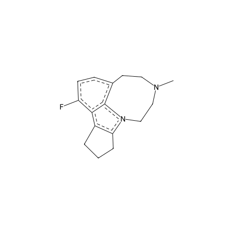 CN1CCc2ccc(F)c3c4c(n(c23)CC1)CCC4